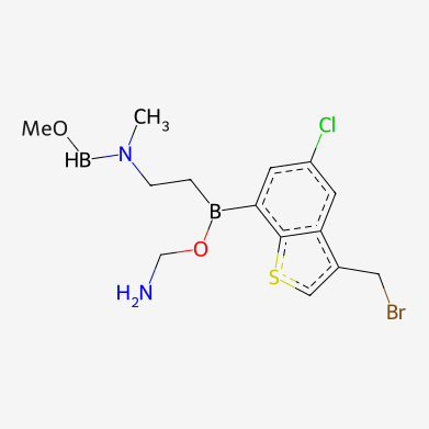 COBN(C)CCB(OCN)c1cc(Cl)cc2c(CBr)csc12